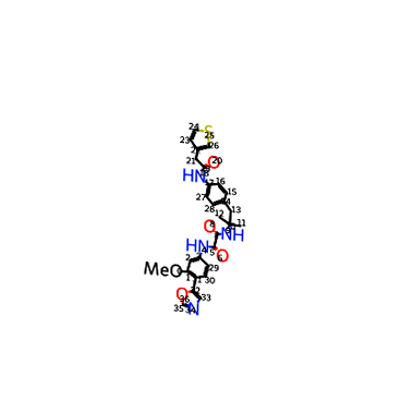 COc1cc(NC(=O)C(=O)NC(C)(C)Cc2ccc(NC(=O)Cc3ccsc3)cc2)ccc1-c1cnco1